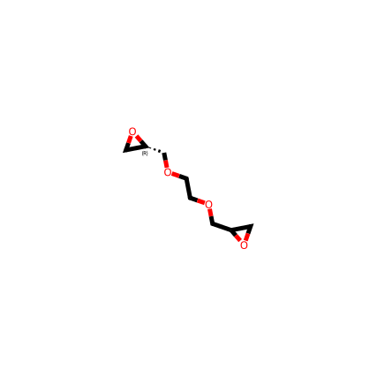 C(COC[C@@H]1CO1)OCC1CO1